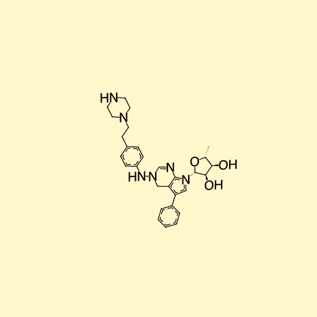 C[C@H]1O[C@@H](n2cc(-c3ccccc3)c3c2N=CN(Nc2ccc(CCN4CCNCC4)cc2)C3)[C@H](O)[C@@H]1O